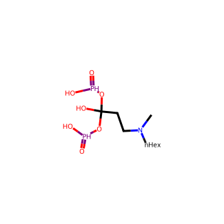 CCCCCCN(C)CCC(O)(O[PH](=O)O)O[PH](=O)O